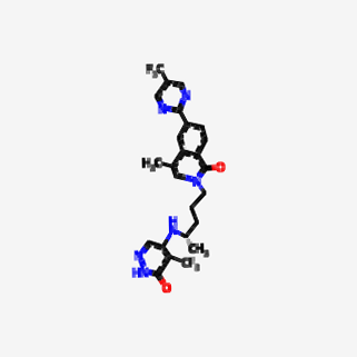 Cc1cn(CCC[C@H](C)Nc2cn[nH]c(=O)c2C(F)(F)F)c(=O)c2ccc(-c3ncc(C(F)(F)F)cn3)cc12